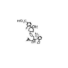 Cc1cccc(Cl)c1-c1noc(C2CC2)c1CO[C@H]1CC[C@](O)(c2ccc(C(=O)O)cc2F)CC1